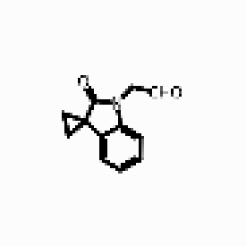 O=CCN1C(=O)C2(CC2)c2ccccc21